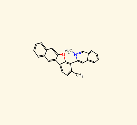 Cc1ccc2c(oc3cc4ccccc4cc32)c1-c1cc2ccccc2c[n+]1C